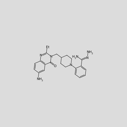 CCc1nc2ccc(N)cc2c(=O)n1CC1CCN(c2ccccc2/C(N)=N/N)CC1